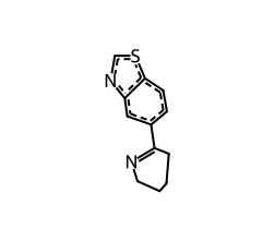 c1nc2cc(C3=NCCCC3)ccc2s1